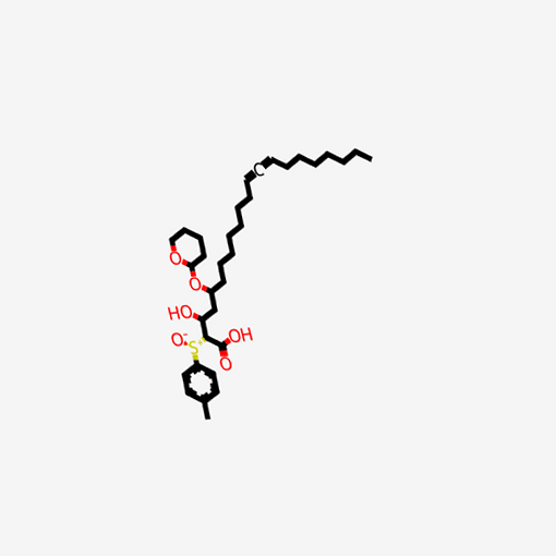 CCCCCCCC=C=CCCCCCCCC(CC(O)C(C(=O)O)[S@+]([O-])c1ccc(C)cc1)OC1CCCCO1